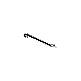 CCCCCCCCCCCCCCCCCCCCCC1=NCCCO1